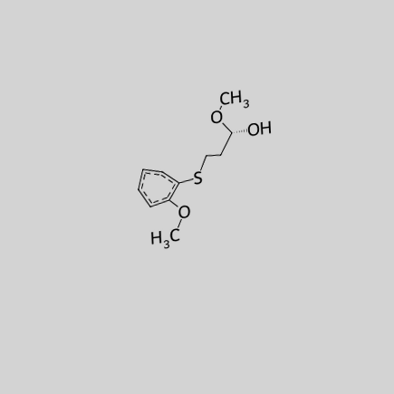 COc1ccccc1SCC[C@@H](O)OC